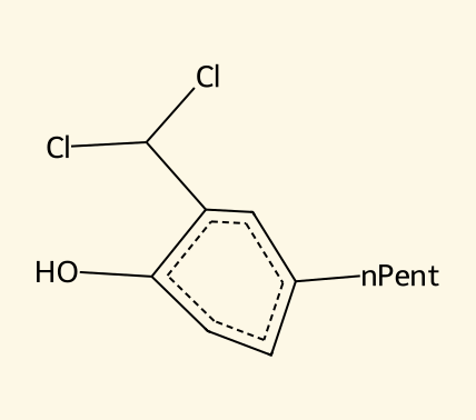 CCCCCc1ccc(O)c(C(Cl)Cl)c1